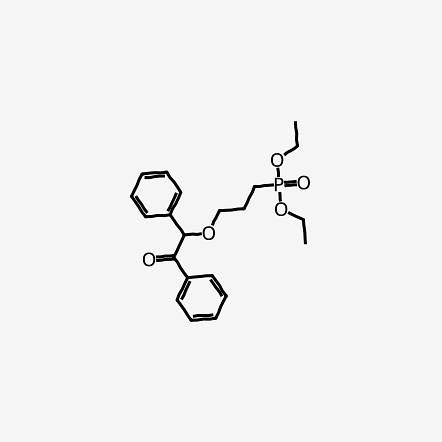 CCOP(=O)(CCCOC(C(=O)c1ccccc1)c1ccccc1)OCC